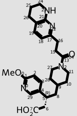 COc1ccc([C@@H](CC(=O)O)CC2CCN(C(=O)CCc3ccc4c(n3)NCCC4)CC2)cn1